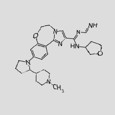 CN1CCC(C2CCCN2c2ccc3c(c2)OCCn2cc(/C(=N/C=N)NC4CCOC4)nc2-3)CC1